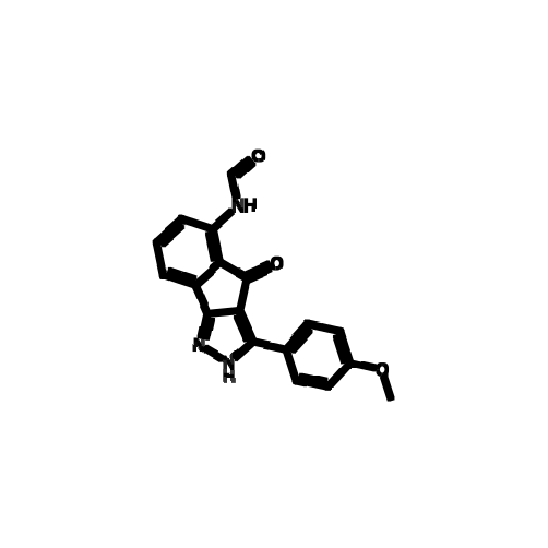 COc1ccc(-c2[nH]nc3c2C(=O)c2c(NC=O)cccc2-3)cc1